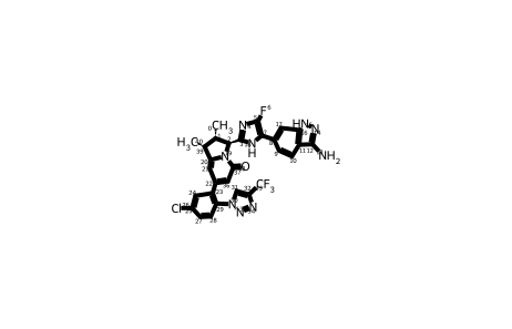 C[C@@H]1[C@@H](c2nc(F)c(-c3ccc4c(N)n[nH]c4c3)[nH]2)n2c(cc(-c3cc(Cl)ccc3-n3cc(C(F)(F)F)nn3)cc2=O)[C@@H]1C